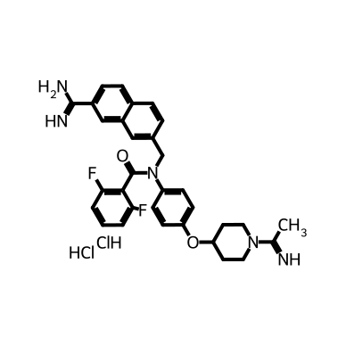 CC(=N)N1CCC(Oc2ccc(N(Cc3ccc4ccc(C(=N)N)cc4c3)C(=O)c3c(F)cccc3F)cc2)CC1.Cl.Cl